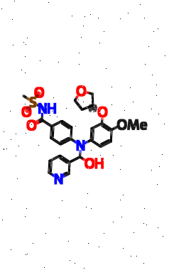 COc1ccc(N(c2ccc(C(=O)NS(C)(=O)=O)cc2)C(O)c2cccnc2)cc1O[C@@H]1CCOC1